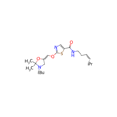 CC(C)/C=C\CCNC(=O)c1cnc(OC=C2CN(C(C)(C)C)C(C)(C)O2)s1